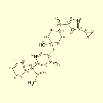 Cc1cc2c(=O)n(CC3(O)CCN(C(=O)c4cnc(C5CC5)o4)CC3)cnc2n1-c1ccccc1